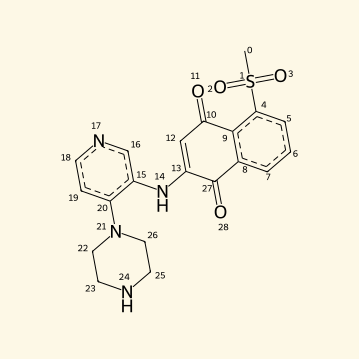 CS(=O)(=O)c1cccc2c1C(=O)C=C(Nc1cnccc1N1CCNCC1)C2=O